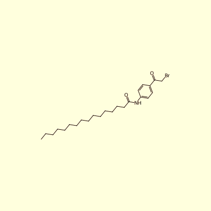 CCCCCCCCCCCCCCCC(=O)Nc1ccc(C(=O)CBr)cc1